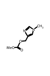 [CH2]OC(=O)OCc1cn(C)cn1